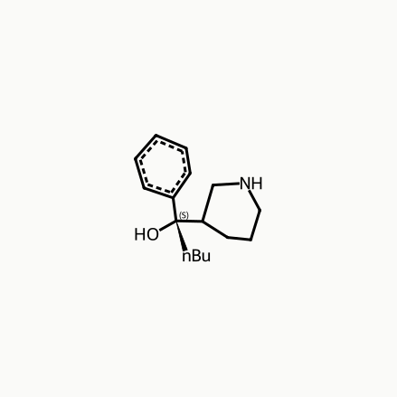 CCCC[C@@](O)(c1ccccc1)C1CCCNC1